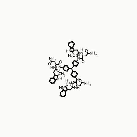 Cc1[nH]c2ccccc2c1CC(=O)N[C@@H](CC(N)=O)C(=O)Nc1ccc(C(c2ccc(NC(=O)[C@H](CC(N)=O)NC(=O)Cc3c(C)[nH]c4ccccc34)cc2)c2ccc(NC(=O)[C@H](CC(N)=O)NC(=O)Cc3c(C)[nH]c4ccccc34)cc2)cc1